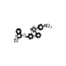 CCc1cc(OCc2ccc(-c3ccccc3-c3nnnn3-c3ccc([N+](=O)[O-])cc3)cc2)c2ccccc2n1